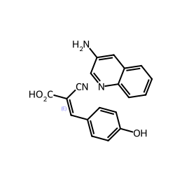 N#C/C(=C\c1ccc(O)cc1)C(=O)O.Nc1cnc2ccccc2c1